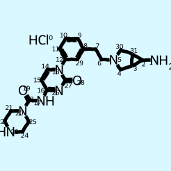 Cl.NC1C2CN(CCc3cccc(-n4ccc(NC(=O)N5CCNCC5)nc4=O)c3)CC12